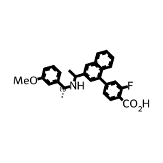 COc1cccc([C@@H](C)NC(C)c2cc(-c3ccc(C(=O)O)c(F)c3)c3ccccc3c2)c1